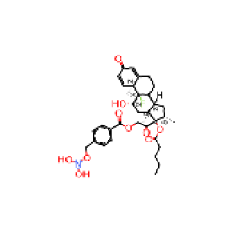 CCCCC(=O)O[C@]1(C(=O)COC(=O)c2ccc(CON(O)O)cc2)[C@@H](C)C[C@H]2C3CCC4=CC(=O)C=C[C@]4(C)[C@@]3(F)[C@@H](O)C[C@@]21C